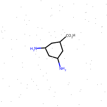 NC1CC(N)CC(C(=O)O)C1